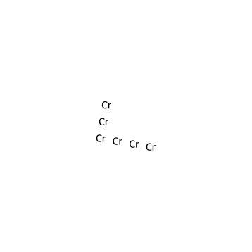 [Cr].[Cr].[Cr].[Cr].[Cr].[Cr]